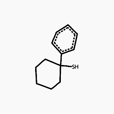 SC1(c2ccccc2)CCCCC1